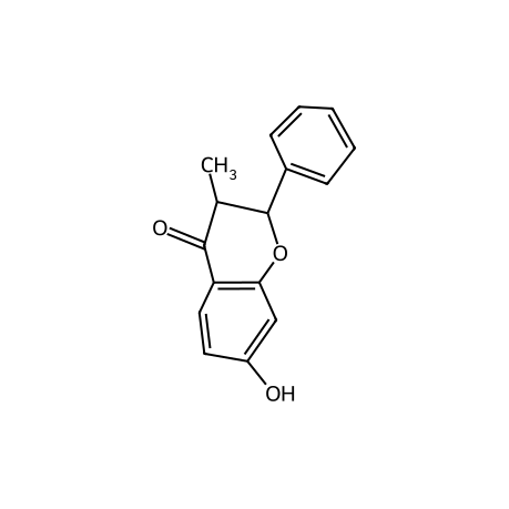 CC1C(=O)c2ccc(O)cc2OC1c1ccccc1